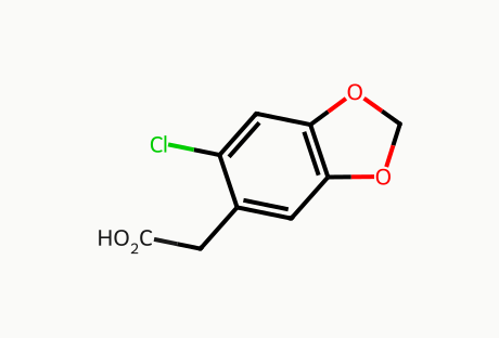 O=C(O)Cc1cc2c(cc1Cl)OCO2